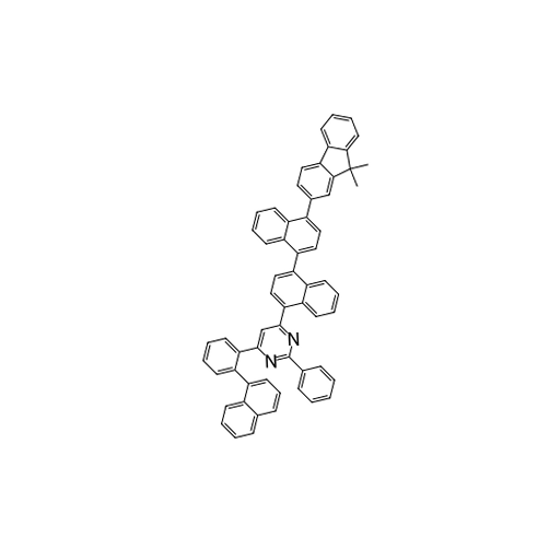 CC1(C)c2ccccc2-c2ccc(-c3ccc(-c4ccc(-c5cc(-c6ccccc6-c6cccc7ccccc67)nc(-c6ccccc6)n5)c5ccccc45)c4ccccc34)cc21